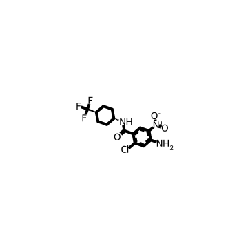 Nc1cc(Cl)c(C(=O)N[C@H]2CC[C@H](C(F)(F)F)CC2)cc1[N+](=O)[O-]